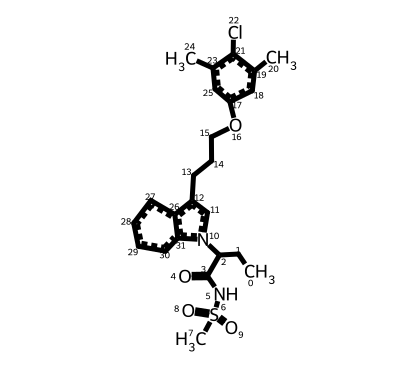 CCC(C(=O)NS(C)(=O)=O)n1cc(CCCOc2cc(C)c(Cl)c(C)c2)c2ccccc21